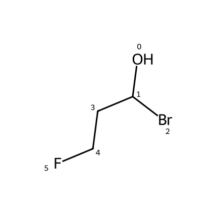 OC(Br)CCF